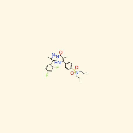 CCCN(CCC)S(=O)(=O)c1ccc(-c2[nH]c3c(-c4ccc(F)cc4F)c(C)nn3c(=O)c2C)cc1